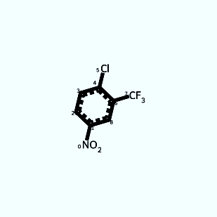 O=[N+]([O-])c1[c]cc(Cl)c(C(F)(F)F)c1